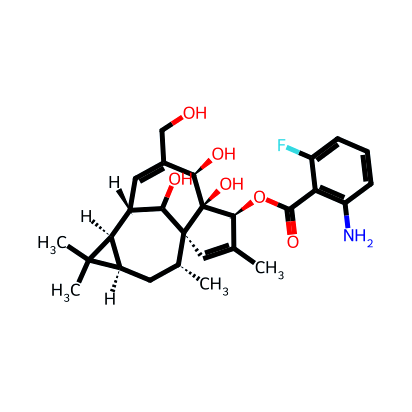 CC1=C[C@]23C(O)[C@@H](C=C(CO)[C@@H](O)[C@]2(O)[C@H]1OC(=O)c1c(N)cccc1F)[C@H]1[C@@H](C[C@H]3C)C1(C)C